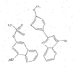 O=S(=O)(Oc1cc(O)c2ccccc2c1)C(F)(F)F.Oc1cc(-c2ccc(OC(F)(F)F)cc2)cc2ccccc12